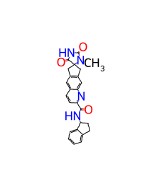 CN1C(=O)NC(=O)C12Cc1cc3ccc(C(=O)NC4CCc5ccccc54)nc3cc1C2